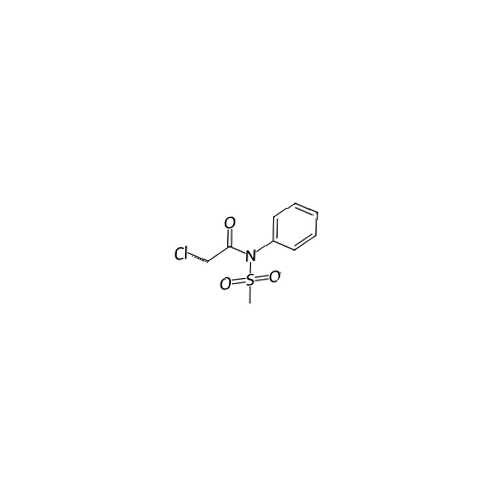 CS(=O)(=O)N(C(=O)CCl)c1ccccc1